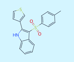 Cc1ccc(S(=O)(=O)c2c(-c3ccsc3)[nH]c3ccccc23)cc1